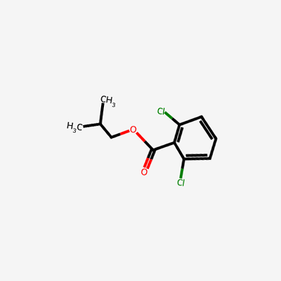 CC(C)COC(=O)c1c(Cl)cccc1Cl